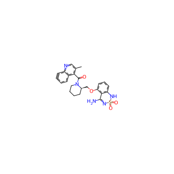 Cc1cnc2c#cccc2c1C(=O)N1CCCC[C@@H]1COc1cccc2c1C(N)=NS(=O)(=O)N2